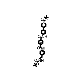 CC(C)(C)OC(=O)NCCc1ccc(NC(=O)C23CCC(C(=O)Nc4ccc(C5=CCN(C(=O)OC(C)(C)C)CC5)cc4)(CC2)CC3)cc1